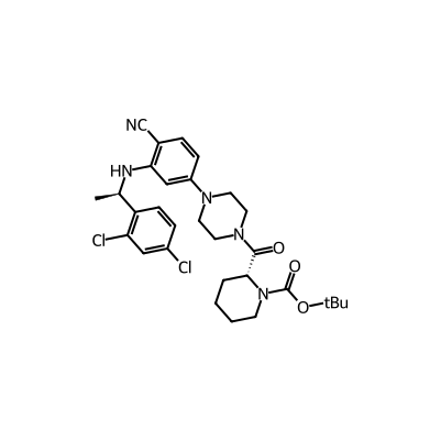 C[C@@H](Nc1cc(N2CCN(C(=O)[C@H]3CCCCN3C(=O)OC(C)(C)C)CC2)ccc1C#N)c1ccc(Cl)cc1Cl